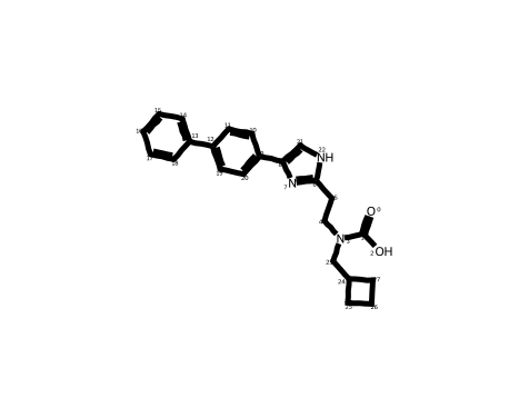 O=C(O)N(CCc1nc(-c2ccc(-c3ccccc3)cc2)c[nH]1)CC1CCC1